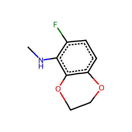 CNc1c(F)ccc2c1OCCO2